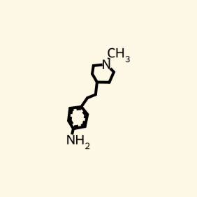 CN1CCC(CCc2ccc(N)cc2)CC1